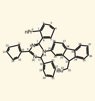 CCCc1ccccc1C1=NC(c2ccccc2)=NC(c2ccccc2)N1c1ccc2c(c1)C(CC(C)CC)c1ccccc1-2